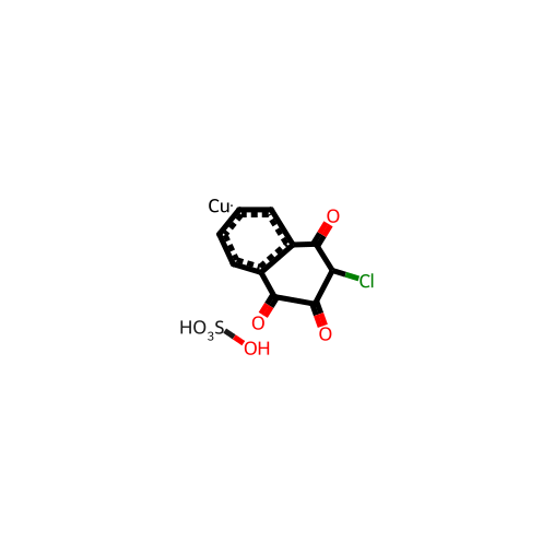 O=C1C(=O)C(Cl)C(=O)c2ccccc21.O=S(=O)(O)O.[Cu]